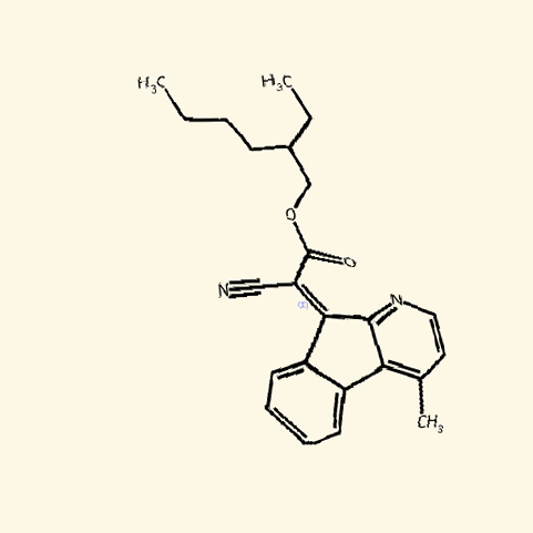 CCCCC(CC)COC(=O)/C(C#N)=C1/c2ccccc2-c2c(C)ccnc21